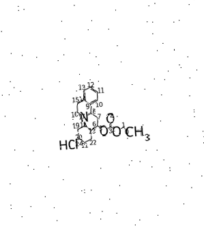 CCOC(=O)OC1CC2c3ccccc3CCN2C2CCCCC12.Cl